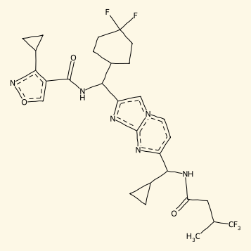 CC(CC(=O)NC(c1ccn2cc(C(NC(=O)c3conc3C3CC3)C3CCC(F)(F)CC3)nc2n1)C1CC1)C(F)(F)F